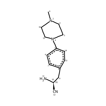 CN1CCN(c2ccc(C[C@H](N)C#N)cc2)CC1